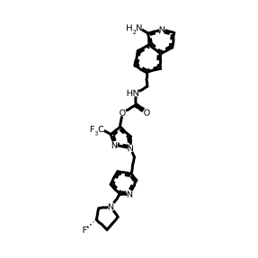 Nc1nccc2cc(CNC(=O)Oc3cn(Cc4ccc(N5CC[C@H](F)C5)nc4)nc3C(F)(F)F)ccc12